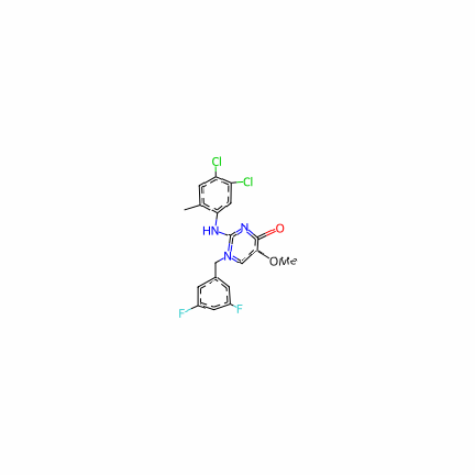 COc1cn(Cc2cc(F)cc(F)c2)c(Nc2cc(Cl)c(Cl)cc2C)nc1=O